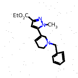 CCOC(=O)c1cc(C2=CCCN(Cc3ccccc3)C2)n(C)n1